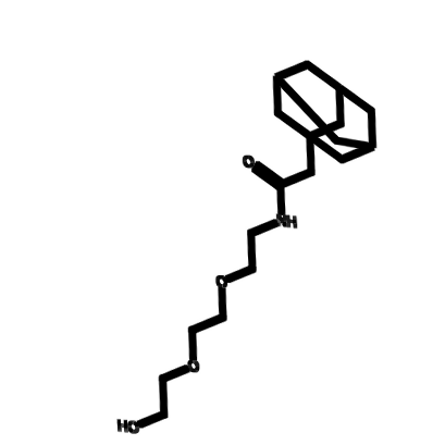 O=C(CC12CC3CC(CC(C3)C1)C2)NCCOCCOCCO